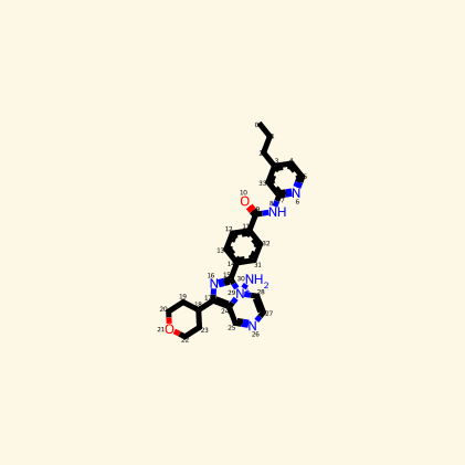 CCCc1ccnc(NC(=O)c2ccc(C3=NC(C4CCOCC4)=C4C=NC=C[N+]34N)cc2)c1